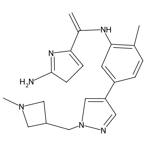 C=C(Nc1cc(-c2cnn(CC3CN(C)C3)c2)ccc1C)C1=CCC(N)=N1